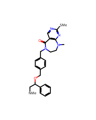 CNCC(OCc1ccc(CN2CCN(C)c3nc(SC)ncc3C2=O)cc1)c1ccccc1